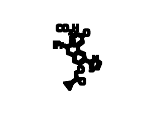 CC(C)C1Cc2cc(OCC(=O)C3CC3)c(-c3nccs3)cc2-c2cc(=O)c(C(=O)O)cn21